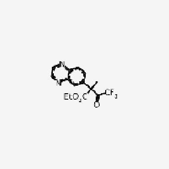 CCOC(=O)C(C)(C(=O)C(F)(F)F)c1ccc2nccnc2c1